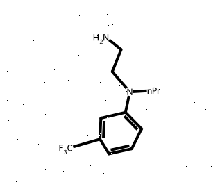 CCCN(CCN)c1cccc(C(F)(F)F)c1